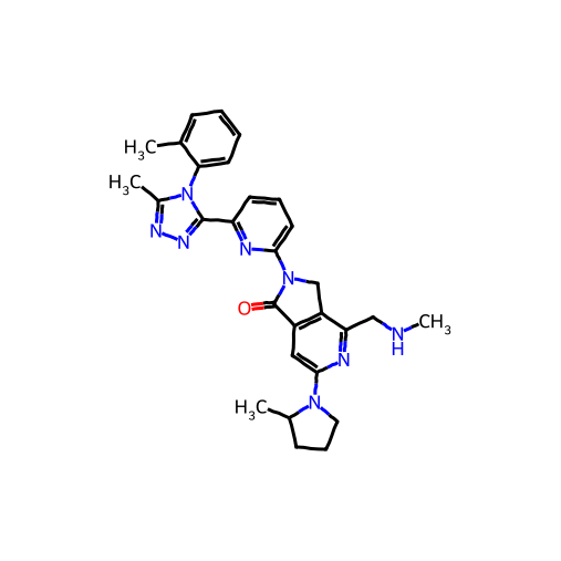 CNCc1nc(N2CCCC2C)cc2c1CN(c1cccc(-c3nnc(C)n3-c3ccccc3C)n1)C2=O